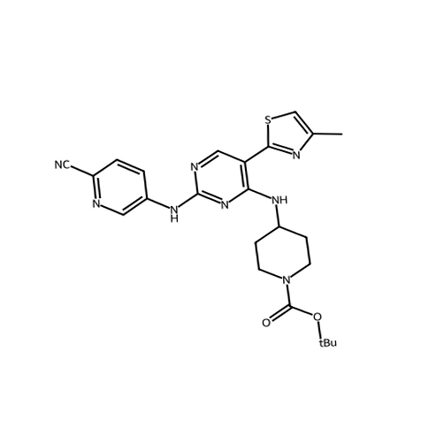 Cc1csc(-c2cnc(Nc3ccc(C#N)nc3)nc2NC2CCN(C(=O)OC(C)(C)C)CC2)n1